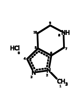 Cl.Cn1ncc2c1CNCC2